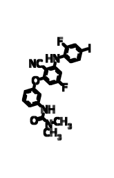 CN(C)C(=O)Nc1cccc(Oc2cc(F)cc(Nc3ccc(I)cc3F)c2C#N)c1